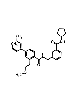 C/C=C\C(=C/CC)c1ccc(C(=O)NCc2cccc(C(=O)NC3CCCC3)c2)c(CCOC)c1